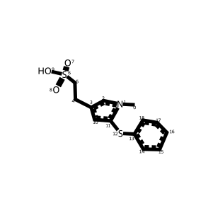 Cn1cc(CCS(=O)(=O)O)cc1Sc1ccccc1